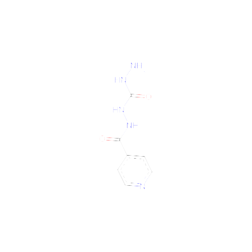 NNC(=O)NNC(=O)c1ccncc1